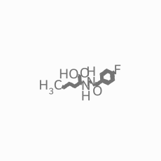 CCCCC(NNC(=O)c1ccc(F)cc1)C(=O)O